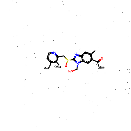 COC(=O)c1cc2c(cc1C)nc([S+]([O-])Cc1nccc(OC)c1OC)n2CO